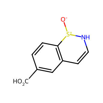 O=C(O)c1ccc2c(c1)C=CN[S+]2[O-]